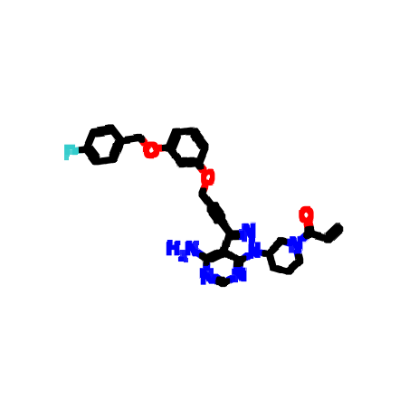 C=CC(=O)N1CCCC(n2nc(C#CCOc3cccc(OCc4ccc(F)cc4)c3)c3c(N)ncnc32)C1